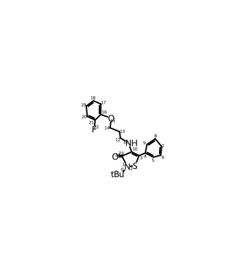 CC(C)(C)n1sc(-c2ccccc2)c(NCCCOc2ccccc2F)c1=O